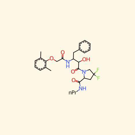 CCCNC(=O)C1CC(F)(F)CN1C(=O)C(O)C(Cc1ccccc1)NC(=O)COc1c(C)cccc1C